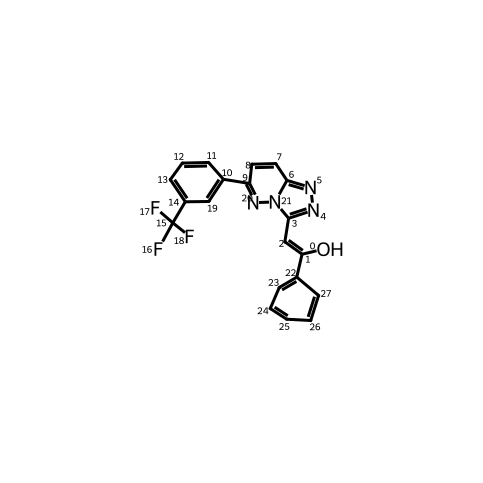 OC(=Cc1nnc2ccc(-c3cccc(C(F)(F)F)c3)nn12)c1ccccc1